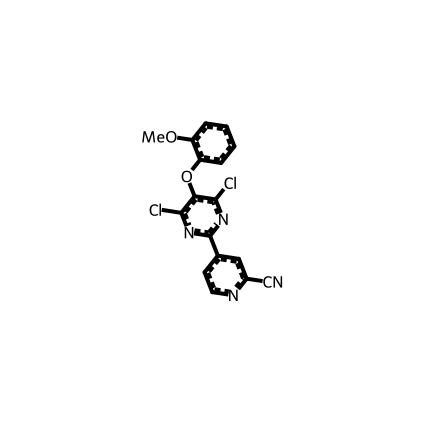 COc1ccccc1Oc1c(Cl)nc(-c2ccnc(C#N)c2)nc1Cl